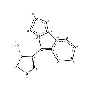 O[C@H]1CSC[C@@H]1[C@@H]1c2ccccc2-c2cncn21